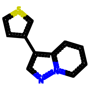 c1ccn2ncc(-c3ccsc3)c2c1